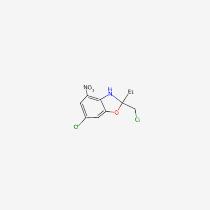 [CH2]CC1(CCl)Nc2c(cc(Cl)cc2[N+](=O)[O-])O1